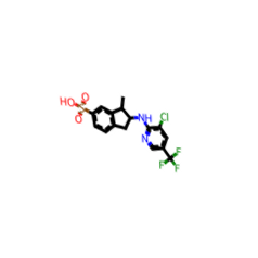 CC1c2cc(S(=O)(=O)O)ccc2CC1Nc1ncc(C(F)(F)F)cc1Cl